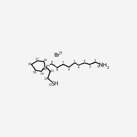 NCCCCCCCCC[N+]1(CCS)CCCCC1.[Br-]